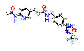 CC(=O)Nc1ccc(COC(=O)NCc2ccc(-c3noc(C(F)(F)F)n3)cc2)cn1